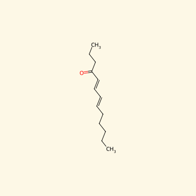 CCCCCC=CC=CC(=O)CCC